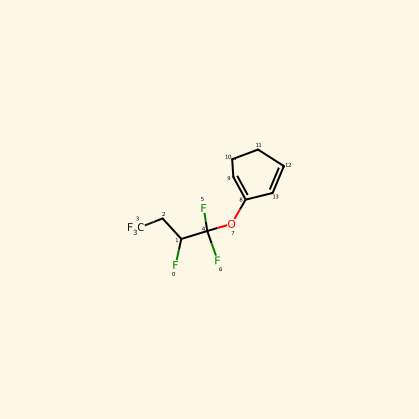 FC(CC(F)(F)F)C(F)(F)OC1=C[CH]CC=C1